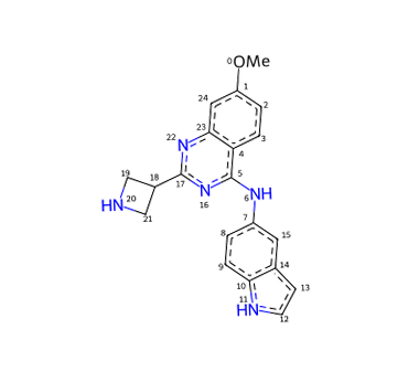 COc1ccc2c(Nc3ccc4[nH]ccc4c3)nc(C3CNC3)nc2c1